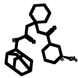 C[C@@H]1CCCN(C(=O)CC2(CC(=O)NC3C4CC5CC(C4)CC3C5)CCCCC2)C1